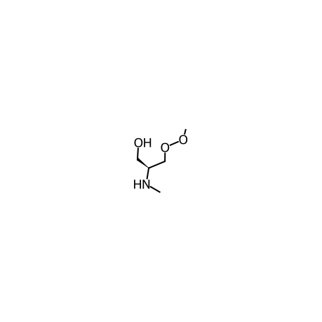 CN[C@@H](CO)COOC